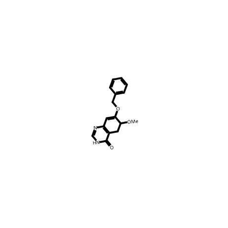 COC1Cc2c(nc[nH]c2=O)C=C1OCc1ccccc1